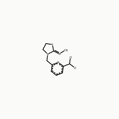 N#CN=C1SCCN1Cc1cccc(C(Cl)Cl)n1